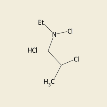 CCN(Cl)CC(C)Cl.Cl